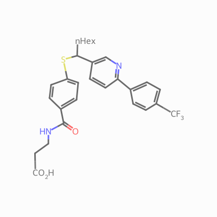 CCCCCCC(Sc1ccc(C(=O)NCCC(=O)O)cc1)c1ccc(-c2ccc(C(F)(F)F)cc2)nc1